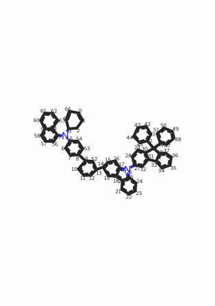 C1=CCC(N(c2ccc(-c3cccc(-c4ccc5c(c4)c4ccccc4n5-c4ccc5c(c4)-c4ccccc4C5(c4ccccc4)c4ccccc4)c3)cc2)c2cccc3ccccc23)C=C1